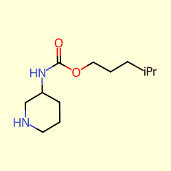 CC(C)CCCOC(=O)NC1CCCNC1